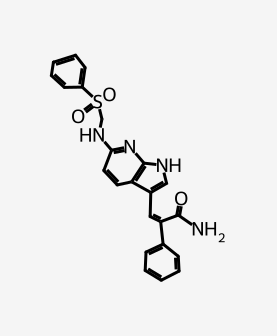 NC(=O)/C(=C\c1c[nH]c2nc(NCS(=O)(=O)c3ccccc3)ccc12)c1ccccc1